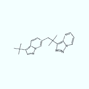 CC(C)(C)c1cnn2cc(CC(C)(C)c3nnn4ccccc34)ccc12